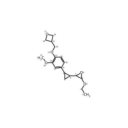 CCOC1OC1C1CC1c1ccc(OCC2COC2)c(OC)c1